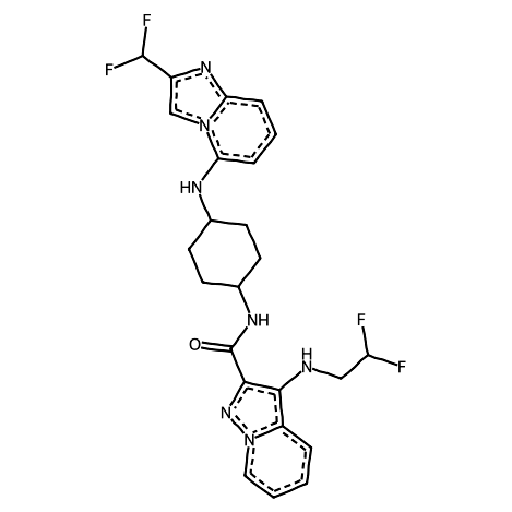 O=C(NC1CCC(Nc2cccc3nc(C(F)F)cn23)CC1)c1nn2ccccc2c1NCC(F)F